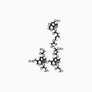 CC(=O)OCC1=CO[C@@H](OC(=O)CC(C)C)[C@H]2C1=C[C@H](OC(=O)CC(C)(C)OC(C)=O)C21CO1.CC(=O)OCC1=CO[C@@H](OC(=O)CC(C)C)[C@H]2C1=C[C@H](OC(=O)CC(C)C)C21CO1.CC(=O)O[C@H]1C[C@H]2C=CO[C@@H](OC(=O)CC(C)CCOC(=O)CC(C)C)[C@@H]2C12CO2